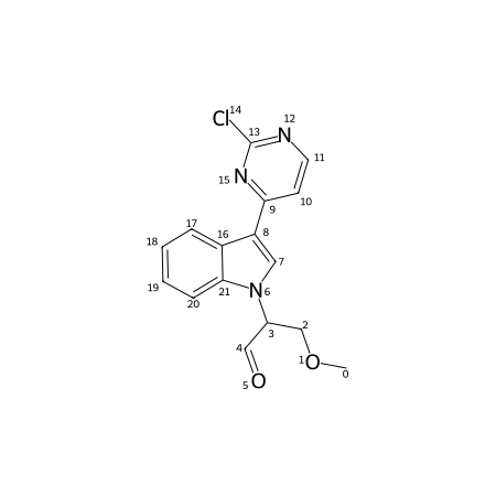 COCC(C=O)n1cc(-c2ccnc(Cl)n2)c2ccccc21